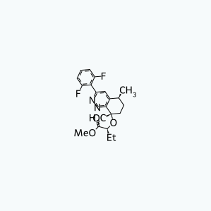 CC[C@H](O[C@@]1(C)CC[C@H](C)c2cc(-c3c(F)cccc3F)nnc21)C(=O)OC